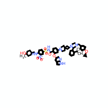 CC(C)c1ccccc1C1CN(Cc2ccc(OC3CC3)cc2)CCN1C1CC2(CCN(c3ccc(C(=O)NS(=O)(=O)c4ccc(NCC5CCC(C)(O)CC5)c([N+](=O)[O-])c4)c(Oc4cnc5[nH]ccc5c4)c3)CC2)C1